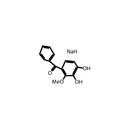 COc1c(C(=O)c2ccccc2)ccc(O)c1O.[NaH]